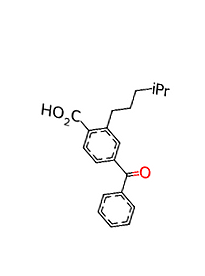 CC(C)CCCc1cc(C(=O)c2ccccc2)ccc1C(=O)O